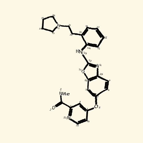 CNC(=O)c1cc(Oc2ccc3nc(Nc4ccccc4CCN4CCCC4)oc3c2)ccn1